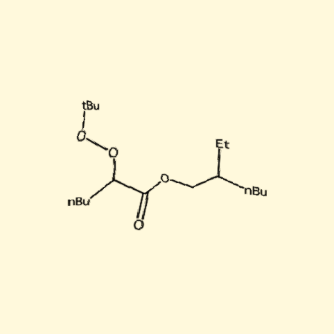 CCCCC(CC)COC(=O)C(CCCC)OOC(C)(C)C